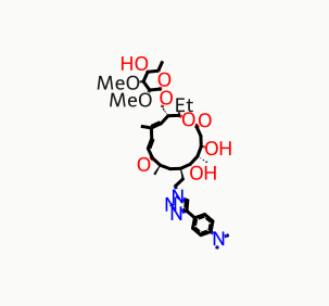 CC[C@H]1OC(=O)C[C@@H](O)[C@H](C)[C@@H](O)[C@@H](CCn2cc(-c3ccc(N(C)C)cc3)nn2)C[C@@H](C)C(=O)/C=C/C(C)=C/[C@@H]1CO[C@@H]1OC(C)[C@@H](O)[C@H](OC)C1OC